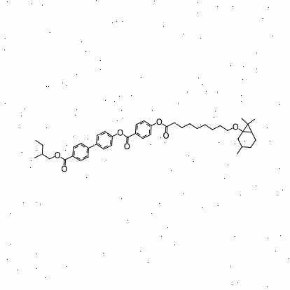 CCC(C)COC(=O)c1ccc(-c2ccc(OC(=O)c3ccc(OC(=O)CCCCCCCCOC45CC(C)CCC4C5(C)C)cc3)cc2)cc1